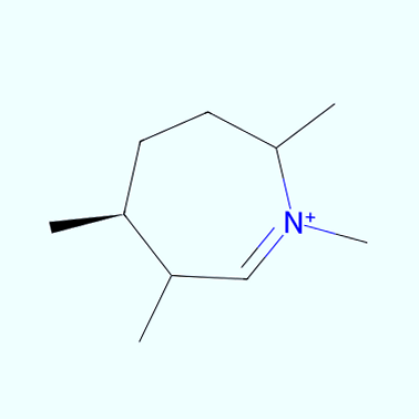 CC1C=[N+](C)C(C)CC[C@@H]1C